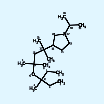 CCC(C)(CC)OC(C)(C)CC(C)(C)C1CCN(C(C)C)C1